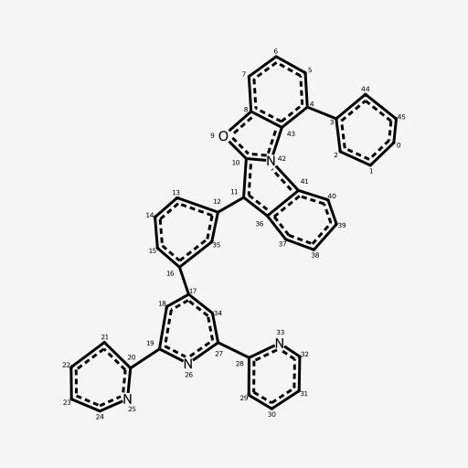 c1ccc(-c2cccc3oc4c(-c5cccc(-c6cc(-c7ccccn7)nc(-c7ccccn7)c6)c5)c5ccccc5n4c23)cc1